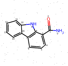 NC(=O)c1cc[c]c2c1[nH]c1ccccc12